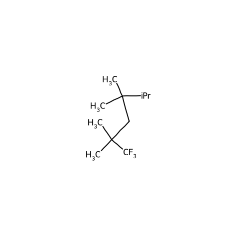 CC(C)C(C)(C)CC(C)(C)C(F)(F)F